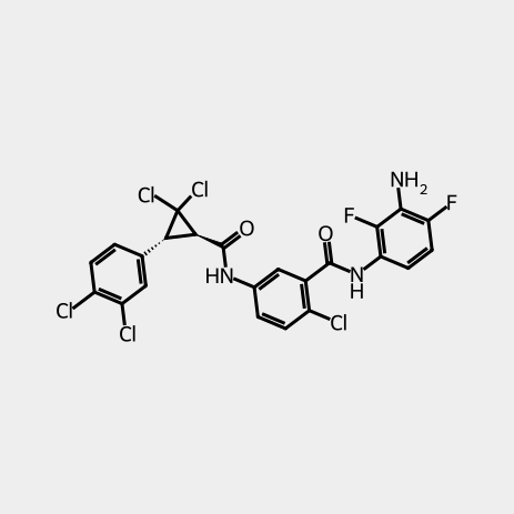 Nc1c(F)ccc(NC(=O)c2cc(NC(=O)[C@H]3[C@H](c4ccc(Cl)c(Cl)c4)C3(Cl)Cl)ccc2Cl)c1F